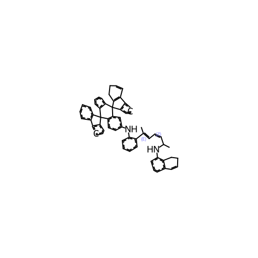 C/C(=C\C=C/C(C)Nc1cccc2c1CCC=C2)c1ccccc1Nc1ccc2c(c1)C1(C3=C(C=CCC3)c3ccccc31)c1ccccc1C21c2ccccc2-c2ccccc21